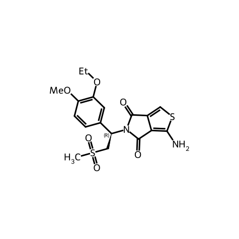 CCOc1cc([C@H](CS(C)(=O)=O)N2C(=O)c3csc(N)c3C2=O)ccc1OC